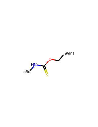 CCCCCCOC(=S)NCCCC